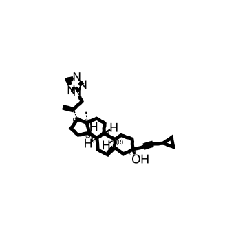 C=C(Cn1ncnn1)[C@H]1CC[C@H]2[C@@H]3CC=C4C[C@@](O)(C#CC5CC5)CC[C@@H]4[C@H]3CC[C@]12C